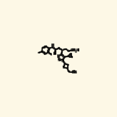 Cc1ccc(NC(=O)CC(CCC(=O)O)c2nnn(C3CC(CC(C)(C)C)C3)c2C2CC2)c(C)c1